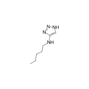 CCCCCNc1c[nH]nn1